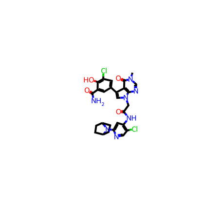 Cn1cnc2c(c(-c3cc(Cl)c(O)c(C(N)=O)c3)cn2CC(=O)Nc2cc(N3C4CCC3CC4)ncc2Cl)c1=O